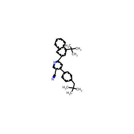 CC(C)(C)Cc1ccc(-c2cc(-c3cc(C(C)(C)C)c4ccccc4c3)ncc2C#N)cc1